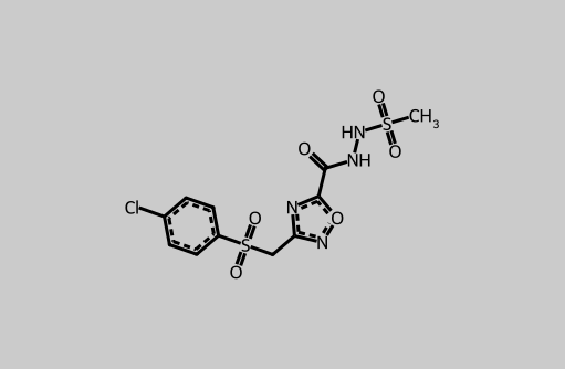 CS(=O)(=O)NNC(=O)c1nc(CS(=O)(=O)c2ccc(Cl)cc2)no1